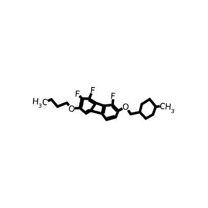 CCCCOc1cc2c(c(F)c1F)-c1c-2ccc(OCC2CCC(C)CC2)c1F